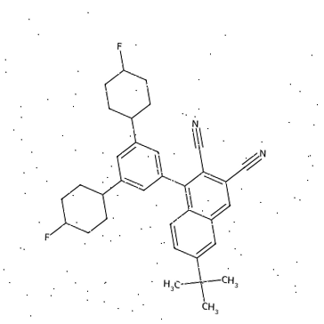 CC(C)(C)c1ccc2c(-c3cc(C4CCC(F)CC4)cc(C4CCC(F)CC4)c3)c(C#N)c(C#N)cc2c1